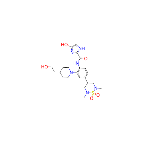 CN1CC(c2ccc(NC(=O)c3nc(O)c[nH]3)c(N3CCC(CCO)CC3)c2)CN(C)S1(=O)=O